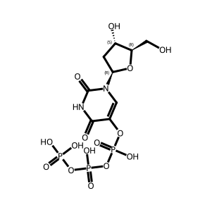 O=c1[nH]c(=O)n([C@H]2C[C@H](O)[C@@H](CO)O2)cc1OP(=O)(O)OP(=O)(O)OP(=O)(O)O